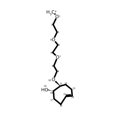 COCCOCCOCCO[C@H]1CC/C=C/CC[C@@H]1O